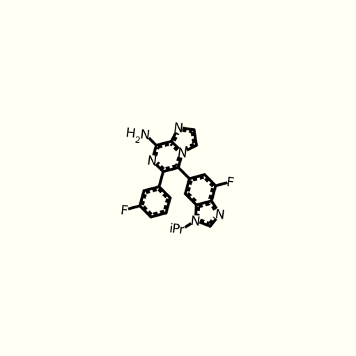 CC(C)n1cnc2c(F)cc(-c3c(-c4cccc(F)c4)nc(N)c4nccn34)cc21